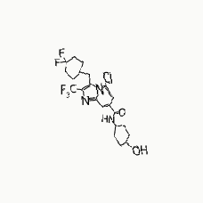 O=C(NC1CCC(O)CC1)c1cc(Cl)n2c(CC3CCC(F)(F)CC3)c(C(F)(F)F)nc2c1